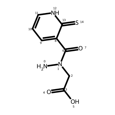 NN(CC(=O)O)C(=O)c1ccc[nH]c1=S